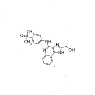 CP(C)(=O)c1ccc(Nc2nc3ccccc3c3[nH]c(CO)nc23)cc1